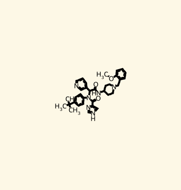 COc1ccccc1CN1CCC(NC(=O)C(c2cccnc2)N(C(=O)c2c[nH]cn2)c2ccc(C(C)(C)C)cc2)CC1